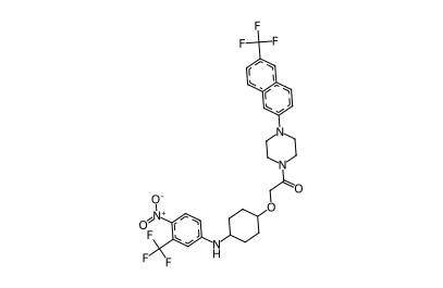 O=C(COC1CCC(Nc2ccc([N+](=O)[O-])c(C(F)(F)F)c2)CC1)N1CCN(c2ccc3cc(C(F)(F)F)ccc3c2)CC1